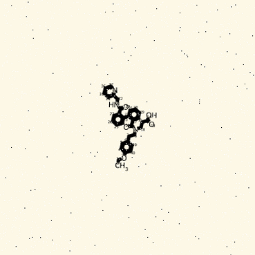 CCOc1ccc(CCN(CCC(=O)O)C(=O)c2ccccc2-c2ccccc2C(=O)NCc2ccccn2)cc1